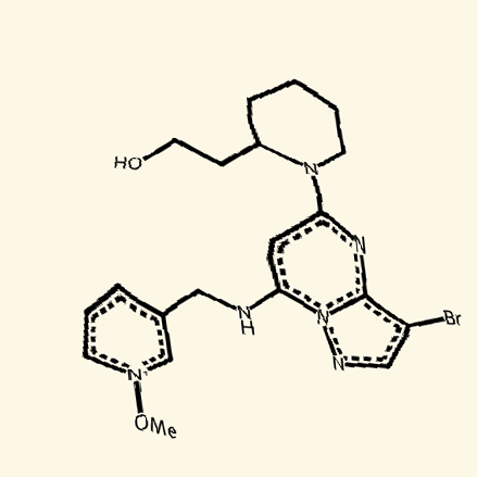 CO[n+]1cccc(CNc2cc(N3CCCCC3CCO)nc3c(Br)cnn23)c1